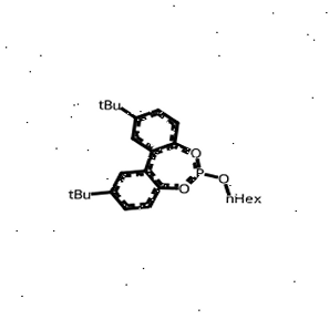 CCCCCCOp1oc2ccc(C(C)(C)C)cc2c2cc(C(C)(C)C)ccc2o1